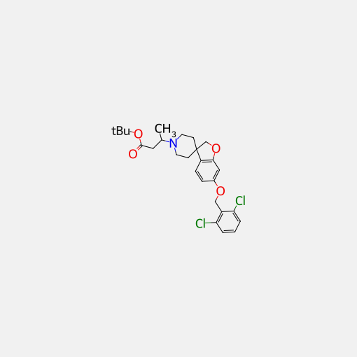 CC(CC(=O)OC(C)(C)C)N1CCC2(CC1)COc1cc(OCc3c(Cl)cccc3Cl)ccc12